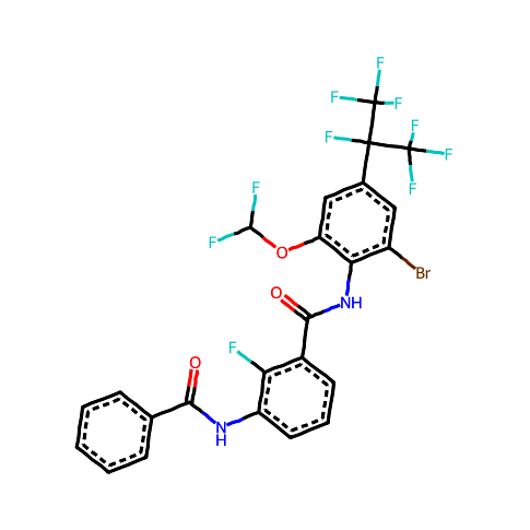 O=C(Nc1cccc(C(=O)Nc2c(Br)cc(C(F)(C(F)(F)F)C(F)(F)F)cc2OC(F)F)c1F)c1ccccc1